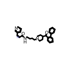 O=C(/C=C\c1cccnc1)NCCCCN1CCC(C(=O)c2ccccc2-c2ccccc2)CC1